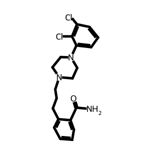 NC(=O)c1ccccc1CCCN1CCN(c2cccc(Cl)c2Cl)CC1